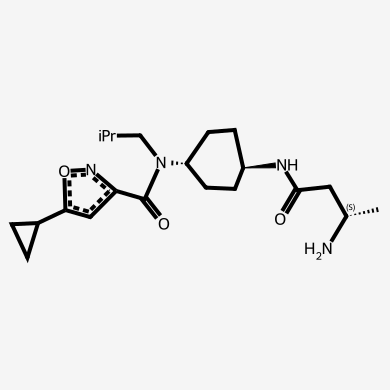 CC(C)CN(C(=O)c1cc(C2CC2)on1)[C@H]1CC[C@H](NC(=O)C[C@H](C)N)CC1